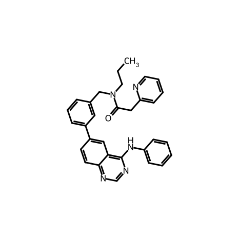 CCCN(Cc1cccc(-c2ccc3ncnc(Nc4ccccc4)c3c2)c1)C(=O)Cc1ccccn1